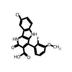 COc1cccc(-c2c(C(=O)O)c(=O)[nH]c3c2[nH]c2ccc(Cl)cc23)c1F